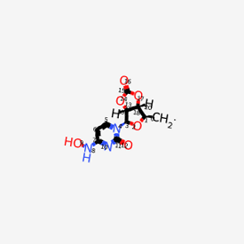 [CH2][C@H]1O[C@@H](n2ccc(NO)nc2=O)[C@@H]2OC(=O)O[C@@H]21